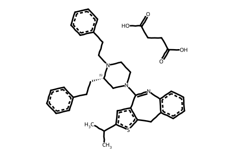 CC(C)c1cc2c(s1)Cc1ccccc1N=C2N1CCN(CCc2ccccc2)[C@@H](CCc2ccccc2)C1.O=C(O)CCC(=O)O